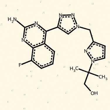 CC(C)(CO)n1ccc(Cn2cc(-c3nc(N)nc4c(F)cccc34)nn2)n1